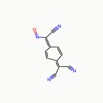 N#CC(C#N)=c1ccc(=C(C#N)N=O)cc1